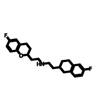 Fc1ccc2c(c1)CCC(CCNCCC1CCc3cc(F)ccc3O1)C2